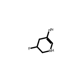 CCCC1=CNCC(F)C1